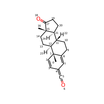 C[C@]12C=CC(=C=O)C=C1CC[C@@H]1[C@@H]2CC[C@]2(C)C(=O)CC[C@@H]12